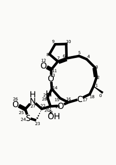 C[C@@H]1/C=C\CCC2=C(CCC2)C(=O)O[C@@H]2CC(CC1)O[C@@](O)([C@@H]1CSC(=O)N1)C2